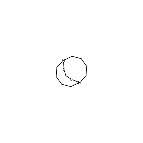 C1CCN2CCCCN(C1)CCC2